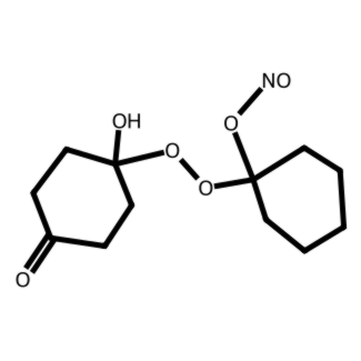 O=NOC1(OOC2(O)CCC(=O)CC2)CCCCC1